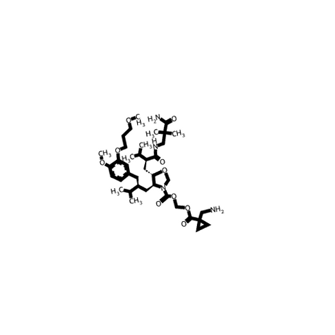 COCCCOc1cc(C[C@@H](C[C@H]2[C@H](C[C@H](C(=O)NCC(C)(C)C(N)=O)C(C)C)OCN2C(=O)OCOC(=O)C2(CN)CC2)C(C)C)ccc1OC